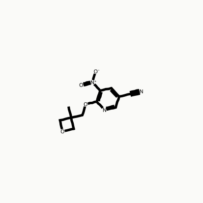 CC1(COc2ncc(C#N)cc2[N+](=O)[O-])COC1